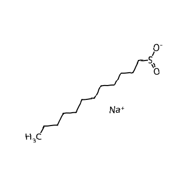 CCCCCCCCCCCCS(=O)[O-].[Na+]